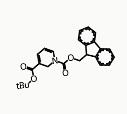 CC(C)(C)OC(=O)C1=CC=CN(C(=O)OCC2c3ccccc3-c3ccccc32)C1